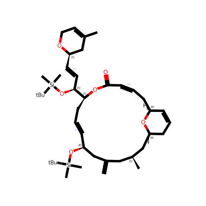 C=C1C[C@H](C)C[C@@H]2CC=C[C@@H](C/C=C\C(=O)O[C@H]([C@H](/C=C/[C@@H]3CC(C)=CCO3)O[Si](C)(C)C(C)(C)C)C/C=C/[C@H](O[Si](C)(C)C(C)(C)C)C1)O2